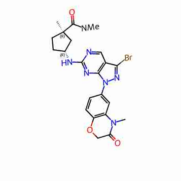 CNC(=O)[C@]1(C)CC[C@@H](Nc2ncc3c(Br)nn(-c4ccc5c(c4)N(C)C(=O)CO5)c3n2)C1